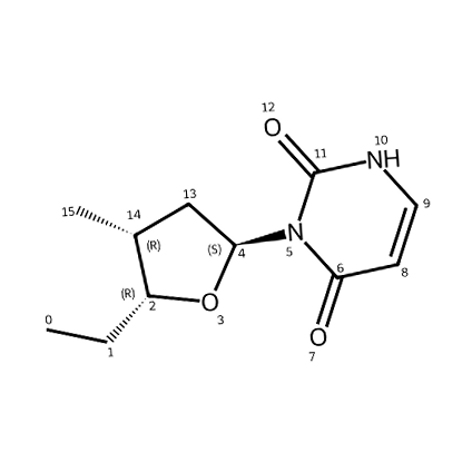 CC[C@H]1O[C@H](n2c(=O)cc[nH]c2=O)C[C@H]1C